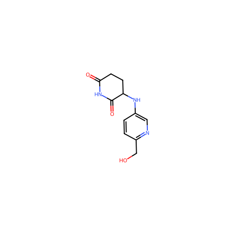 O=C1CCC(Nc2ccc(CO)nc2)C(=O)N1